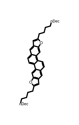 CCCCCCCCCCCCCCc1cc2cc3ccc4c5cc6oc(CCCCCCCCCCCCCC)cc6cc5ccc4c3cc2o1